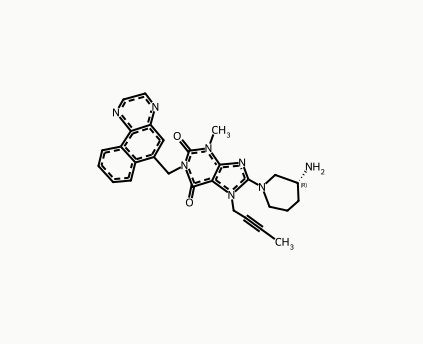 CC#CCn1c(N2CCC[C@@H](N)C2)nc2c1c(=O)n(Cc1cc3nccnc3c3ccccc13)c(=O)n2C